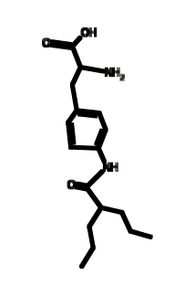 CCCC(CCC)C(=O)Nc1ccc(CC(N)C(=O)O)cc1